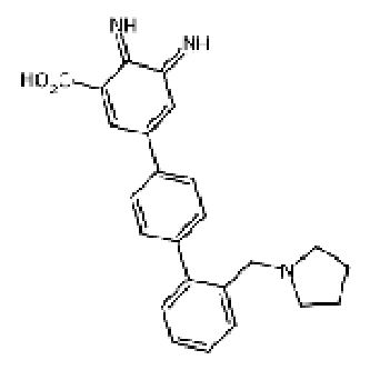 N=C1C=C(c2ccc(-c3ccccc3CN3CCCC3)cc2)C=C(C(=O)O)C1=N